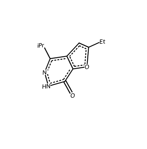 CCc1cc2c(C(C)C)n[nH]c(=O)c2o1